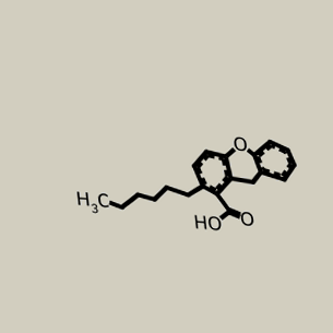 CCCCCCc1ccc2c(c1C(=O)O)Cc1ccccc1O2